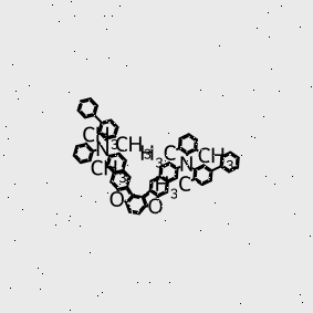 Cc1ccc(-c2ccccc2)cc1N(c1ccc2cc3c(cc2c1)oc1ccc2oc4cc5cc(N(c6cc(-c7ccccc7)ccc6C)c6c(C)cccc6C)ccc5cc4c2c13)c1c(C)cccc1C